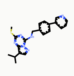 CSc1nc(NCc2ccc(-c3cccnc3)cc2)n2ncc(C(C)C)c2n1